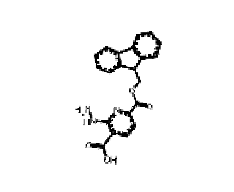 NNc1nc(C(=O)OCC2c3ccccc3-c3ccccc32)ccc1C(=O)O